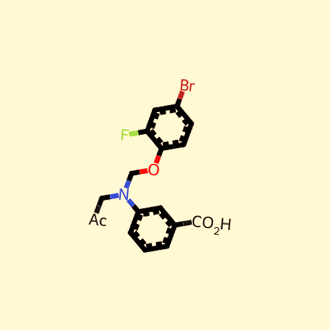 CC(=O)CN(COc1ccc(Br)cc1F)c1cccc(C(=O)O)c1